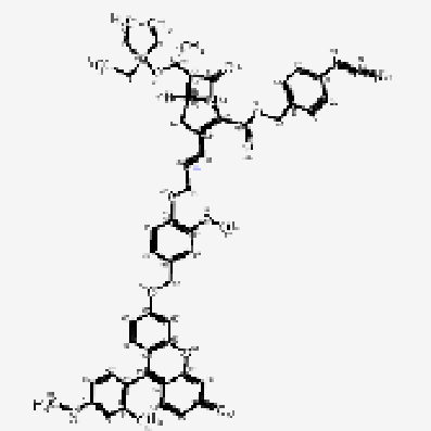 CC[Si](CC)(CC)O[C@H](C)[C@H]1C(=O)N2C(C(=O)OCc3ccc(N=[N+]=[N-])cc3)=C(/C=C/COc3ccc(COc4ccc5c(-c6ccc(OC)cc6C)c6ccc(=O)cc-6oc5c4)cc3OC)C[C@H]12